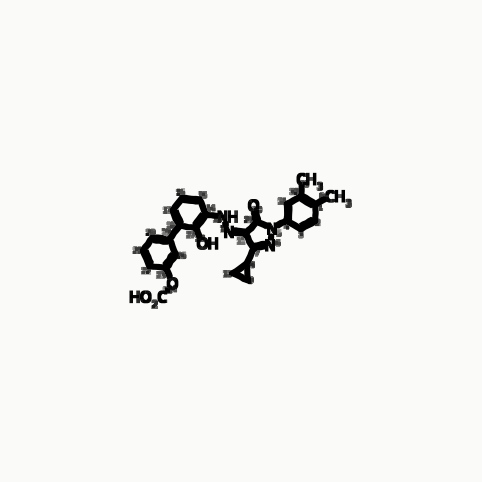 Cc1ccc(N2N=C(C3CC3)C(=NNc3cccc(-c4cccc(OC(=O)O)c4)c3O)C2=O)cc1C